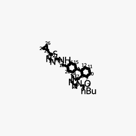 CCCCC(=O)n1nnnc1-c1ccccc1-c1ccc(CNc2nnc(C3CC3)s2)cc1